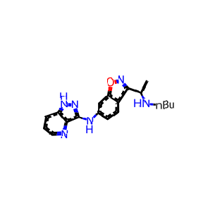 CCCCNC(C)c1noc2cc(Nc3n[nH]c4cccnc34)ccc12